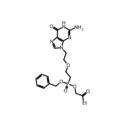 CCC(=O)COP(=O)(CCOCCn1cnc2c(=O)[nH]c(N)nc21)OCc1ccccc1